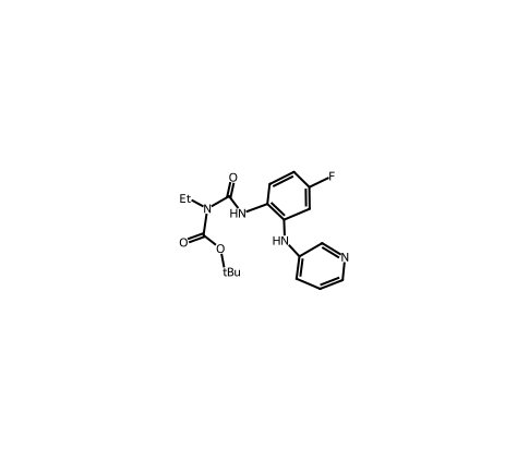 CCN(C(=O)Nc1ccc(F)cc1Nc1cccnc1)C(=O)OC(C)(C)C